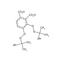 CCCC(C)(C)OOc1ccc(C(=O)O)c(C(=O)O)c1OOC(C)(C)CCC